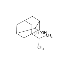 CC(C)C12CC3CC(C1)C(O)(O)C(C3)C2